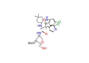 CO[C@H]1C[C@@H](NC(=O)[C@@H]2NC3(CCC(C)(C)CC3)[C@@]3(C(=O)Nc4cc(Cl)ccc43)[C@H]2c2ccnc(Cl)c2)CO[C@@H]1CO